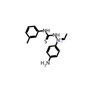 C/C=[N+](\NC(=S)Nc1cccc(C)c1)c1ccc(N)cc1